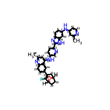 Cc1cc(Nc2ccc3nc(-c4ccc(Nc5cc(C)nc6ccc(C7=C(F)[C@H]8CC[C@@H](C7)O8)cc56)cn4)[nH]c3c2)ccn1